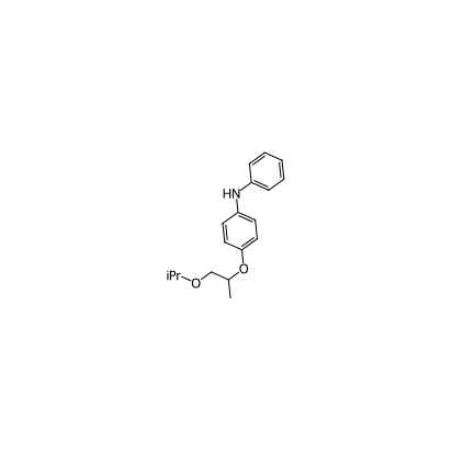 CC(C)OCC(C)Oc1ccc(Nc2ccccc2)cc1